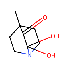 CC12CCN(CC1)C(O)(O)C2=O